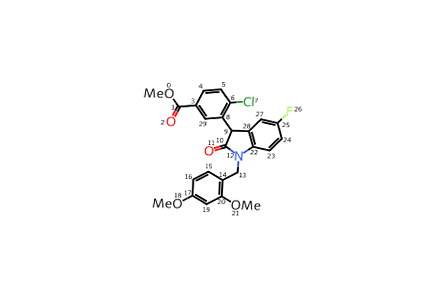 COC(=O)c1ccc(Cl)c(C2C(=O)N(Cc3ccc(OC)cc3OC)c3ccc(F)cc32)c1